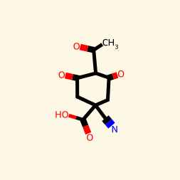 CC(=O)C1C(=O)CC(C#N)(C(=O)O)CC1=O